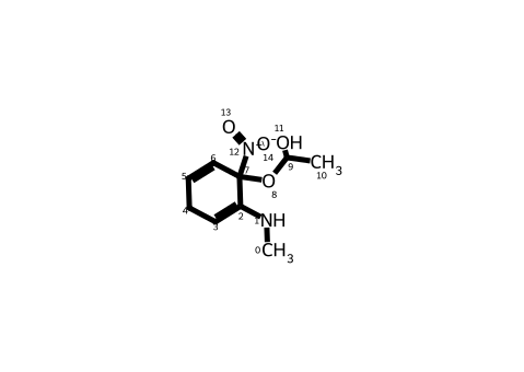 CNC1=CCC=CC1(OC(C)O)[N+](=O)[O-]